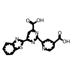 O=C(O)c1ccnc(-c2nc(C(=O)O)cc(-c3nc4ccccc4s3)n2)c1